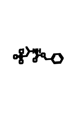 CC(CS(=O)(=O)Cl)NC(=O)OCc1ccccc1